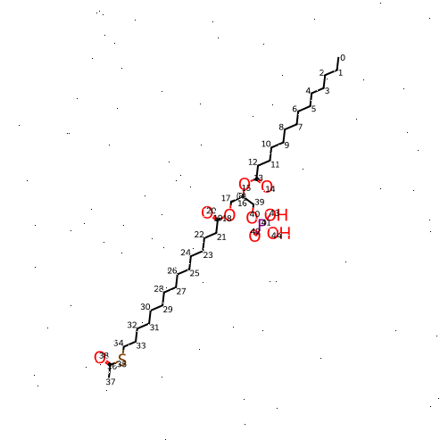 CCCCCCCCCCCCCC(=O)O[C@H](COC(=O)CCCCCCCCCCCCCCSC(C)=O)COP(=O)(O)O